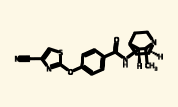 C[C@H]1[C@H](NC(=O)c2ccc(Oc3nc(C#N)cs3)cc2)C2CCN1CC2